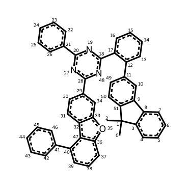 CC1(C)c2ccccc2-c2cc(-c3ccccc3-c3nc(-c4ccccc4)nc(-c4ccc5c(c4)oc4cccc(-c6ccccc6)c45)n3)ccc21